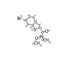 CON(C)C(=O)c1cc2ccc(Br)cc2s1